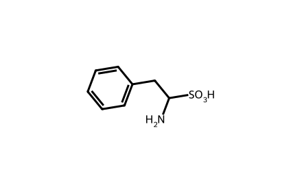 NC(Cc1ccccc1)S(=O)(=O)O